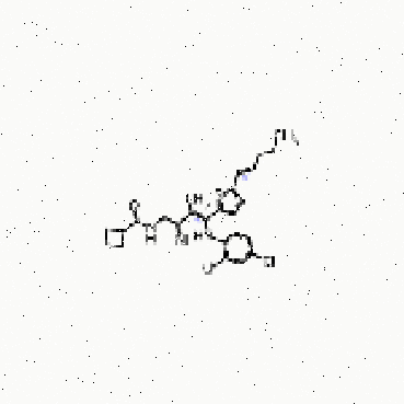 CCC/C=C/c1ccc(/C(Nc2ccc(Cl)cc2Cl)=C(\C)C(=N)CNC(=O)C2CCC2)s1